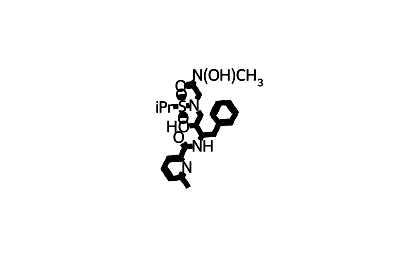 Cc1cccc(C(=O)NC(Cc2ccccc2)C(O)CN(CC(=O)N(C)O)S(=O)(=O)C(C)C)n1